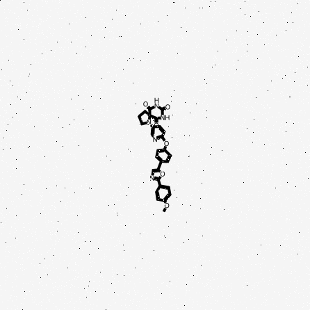 COc1ccc(-c2ncc(-c3ccc(Oc4ccc(N5CCCC56C(=O)NC(=O)NC6=O)cn4)cc3)o2)cc1